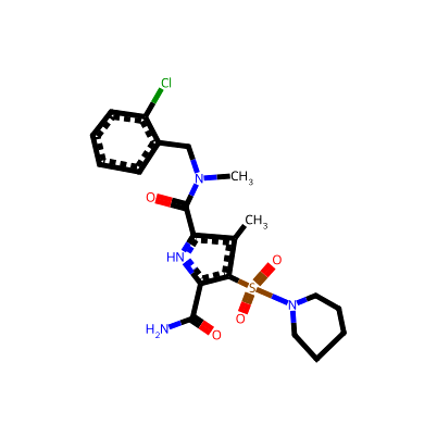 Cc1c(C(=O)N(C)Cc2ccccc2Cl)[nH]c(C(N)=O)c1S(=O)(=O)N1CCCCC1